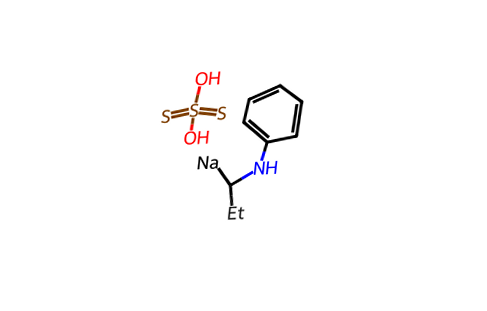 CC[CH]([Na])Nc1ccccc1.OS(O)(=S)=S